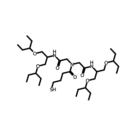 CCC(CC)OCC(COC(CC)CC)NC(=O)CN(CC(=O)NC(COC(CC)CC)COC(CC)CC)C(=O)CCCS